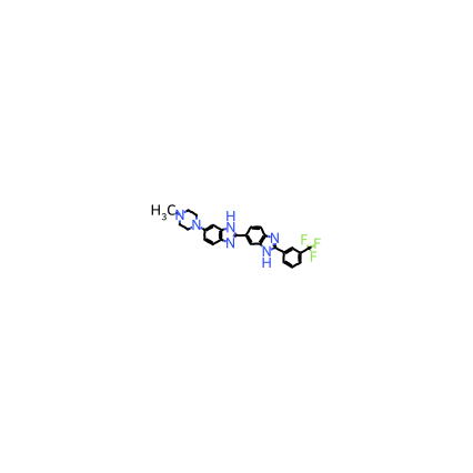 CN1CCN(c2ccc3nc(-c4ccc5nc(-c6cccc(C(F)(F)F)c6)[nH]c5c4)[nH]c3c2)CC1